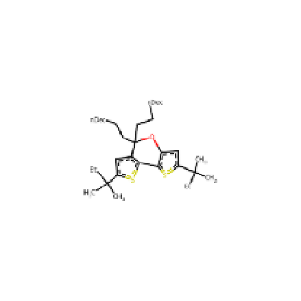 CCCCCCCCCCCCC1(CCCCCCCCCCCC)Oc2cc(C(C)(C)CC)sc2-c2sc(C(C)(C)CC)cc21